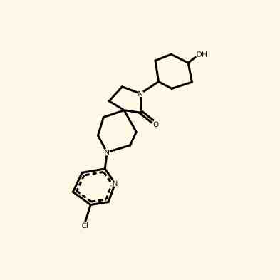 O=C1N(C2CCC(O)CC2)CCC12CCN(c1ccc(Cl)cn1)CC2